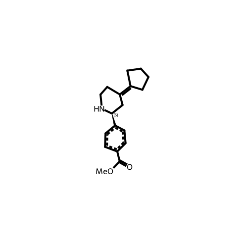 COC(=O)c1ccc([C@@H]2CC(=C3CCCC3)CCN2)cc1